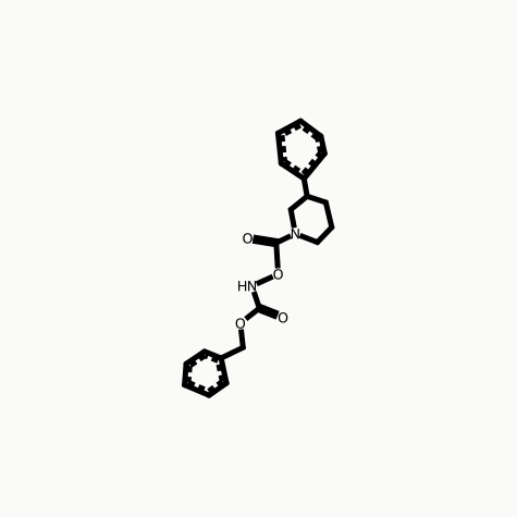 O=C(NOC(=O)N1CCCC(c2ccccc2)C1)OCc1ccccc1